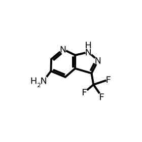 Nc1cnc2[nH]nc(C(F)(F)F)c2c1